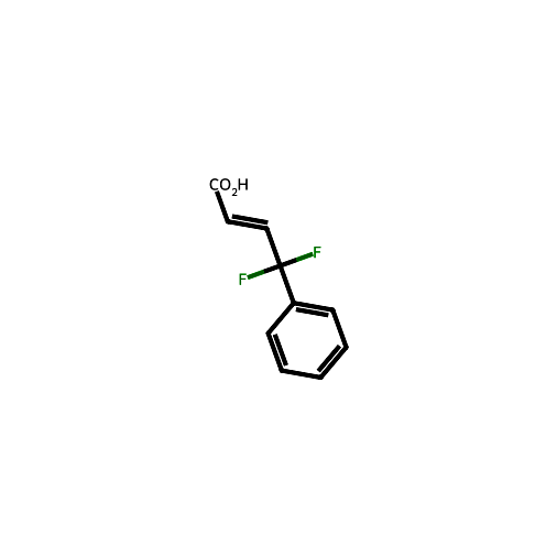 O=C(O)/C=C/C(F)(F)c1ccccc1